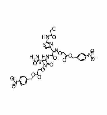 NC(=O)[C@@H]1[C@H](NC(=O)C(=NOCC(=O)OCc2ccc([N+](=O)[O-])cc2)c2csc(NC(=O)CCl)n2)C(=O)N1OCC(=O)OCc1ccc([N+](=O)[O-])cc1